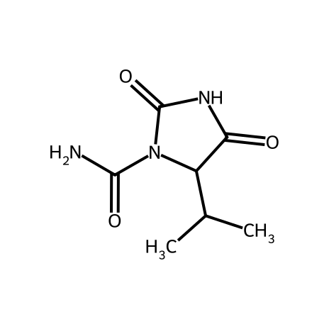 CC(C)C1C(=O)NC(=O)N1C(N)=O